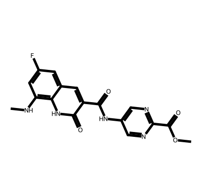 CNc1cc(F)cc2cc(C(=O)Nc3cnc(C(=O)OC)nc3)c(=O)[nH]c12